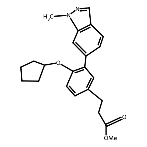 COC(=O)CCc1ccc(OC2CCCC2)c(-c2ccc3cnn(C)c3c2)c1